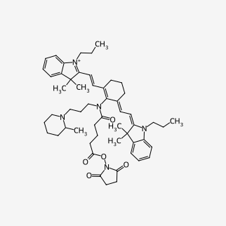 CCCN1/C(=C/C=C2\CCCC(/C=C/C3=[N+](CCC)c4ccccc4C3(C)C)=C2N(CCCN2CCCCC2C)C(=O)CCCC(=O)ON2C(=O)CCC2=O)C(C)(C)c2ccccc21